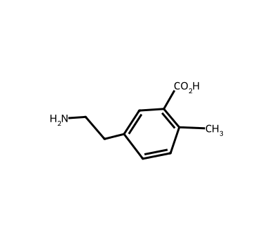 Cc1ccc(CCN)cc1C(=O)O